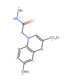 CCOC(=O)C1=CN(CC(=O)NC(C)(C)C)c2ccc(OC)cc2C1